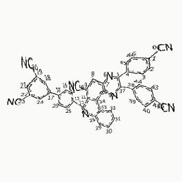 N#Cc1ccc(-c2nc3cc(C#N)c4c(-c5ccc(-c6cc(C#N)cc(C#N)c6)cc5)nc5ccccc5c4c3nc2-c2ccc(C#N)cc2)cc1